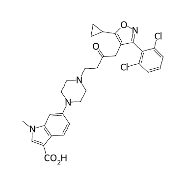 Cn1cc(C(=O)O)c2ccc(N3CCN(CCC(=O)Cc4c(-c5c(Cl)cccc5Cl)noc4C4CC4)CC3)cc21